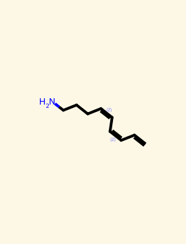 C=C/C=C\C=C/CCCN